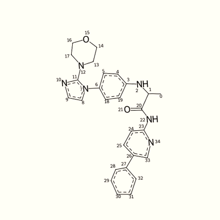 CC(Nc1ccc(-n2ccnc2N2CCOCC2)cc1)C(=O)Nc1ccc(-c2ccccc2)cn1